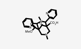 COC(=O)C12CN(C)CC(C(=O)O)(C1=O)C(c1ccccn1)N(C)C2c1ccccn1